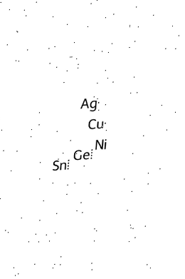 [Ag].[Cu].[Ge].[Ni].[Sn]